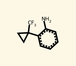 Nc1ccccc1C1(C(F)(F)F)CC1